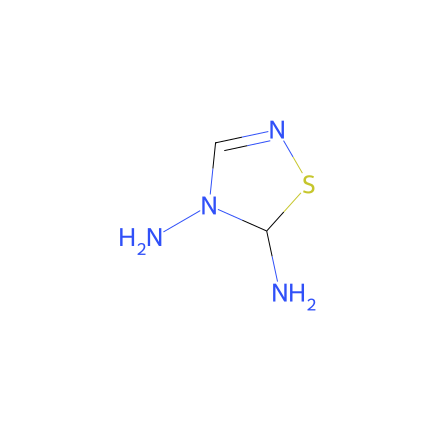 NC1SN=CN1N